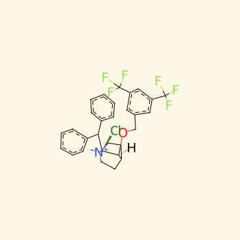 C[N+]12CCC(CC1)[C@H](OCc1cc(C(F)(F)F)cc(C(F)(F)F)c1)[C@@]2(Cl)C(c1ccccc1)c1ccccc1